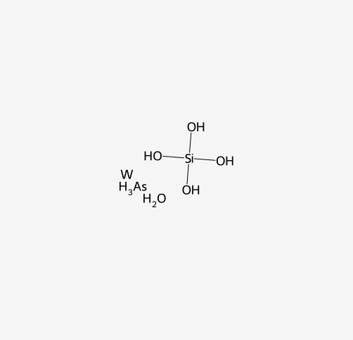 O.O[Si](O)(O)O.[AsH3].[W]